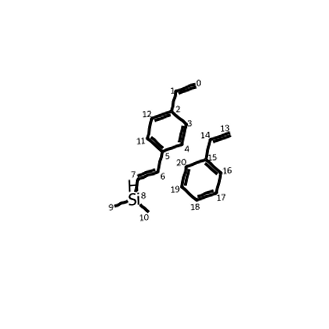 C=Cc1ccc(C=C[SiH](C)C)cc1.C=Cc1ccccc1